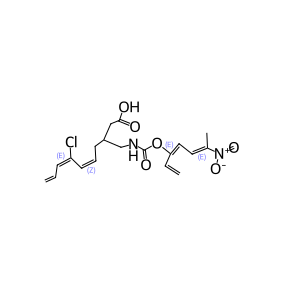 C=C/C=C(Cl)\C=C/CC(CNC(=O)O/C(C=C)=C/C=C(\C)[N+](=O)[O-])CC(=O)O